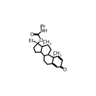 CC[C@]1(OC(=O)NC(C)C)CCC2C3CCC4=CC(=O)C=C[C@]4(C)C3CC[C@@]21C